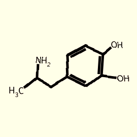 CC(N)Cc1ccc(O)c(O)c1